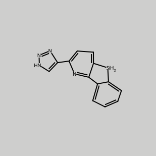 c1ccc2c(c1)[SiH2]c1ccc(-c3c[nH]nn3)nc1-2